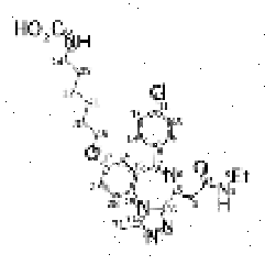 CCNC(=O)C[C@@H]1N=C(c2ccc(Cl)cc2)c2cc(OCCCCCCNC(=O)O)ccc2-n2c(C)nnc21